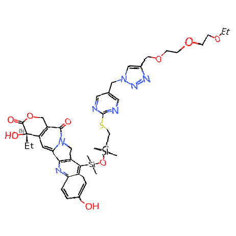 CCOCCOCCOCc1cn(Cc2cnc(SC[Si](C)(C)O[Si](C)(C)c3c4c(nc5ccc(O)cc35)-c3cc5c(c(=O)n3C4)COC(=O)[C@]5(O)CC)nc2)nn1